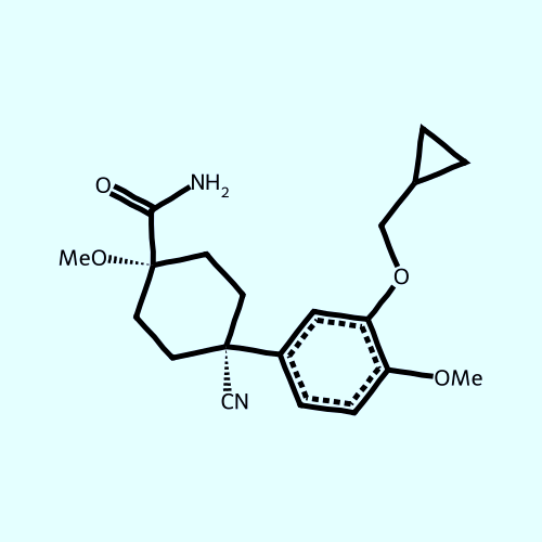 COc1ccc([C@]2(C#N)CC[C@](OC)(C(N)=O)CC2)cc1OCC1CC1